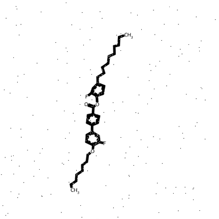 CCCCCCCCCCc1ccc(OC(=O)c2ccc(-c3ccc(OCCCCCCCC)c(F)c3)cc2)c(F)c1